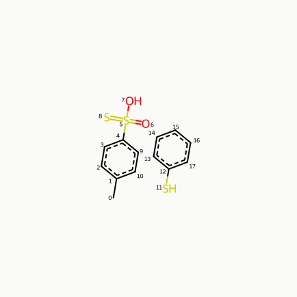 Cc1ccc(S(=O)(O)=S)cc1.Sc1ccccc1